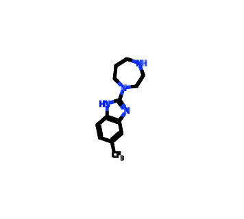 FC(F)(F)c1ccc2[nH]c(N3CCCNCC3)nc2c1